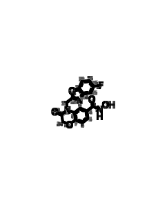 O=C(NO)c1ccc2c(c1)N(Cc1nc3cc(F)ccc3o1)C(=O)CO2